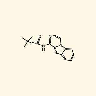 CC(C)(C)OC(=O)Nc1nccn2c1nc1ccccc12